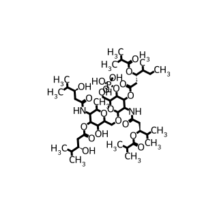 CCC(C)[C@H](CC(=O)OC1C(NC(=O)C[C@H](OC(=O)C(C)C)C(C)C)C(OCC2OC(C)C(NC(=O)C[C@H](O)C(C)C)C(OC(=O)C[C@H](O)C(C)C)C2O)OC(CO)C1OP(=O)(O)O)OC(=O)C(C)C